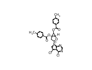 Cc1ccc(C(=O)OC2[C@H]3O[C@@H](n4cc(Cl)c5c(Cl)ncnc54)C[C@@]23OC(=O)c2ccc(C)cc2)cc1